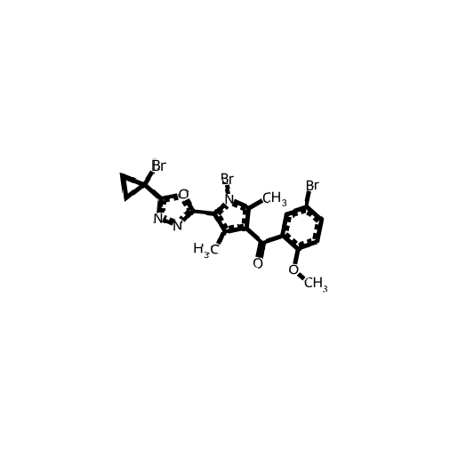 COc1ccc(Br)cc1C(=O)c1c(C)c(-c2nnc(C3(Br)CC3)o2)n(Br)c1C